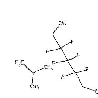 OC(C(F)(F)F)C(F)(F)F.OCC(F)(F)C(F)(F)C(F)(F)CO